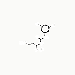 CSCCC(NC(=O)Nc1cc(Cl)cc(Cl)c1)C(=O)O